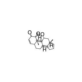 C[C@@]12CCC[C@H]1[C@@H]1CCC3C=CC(=O)C(=O)[C@]3(C)[C@H]1C(O)C2